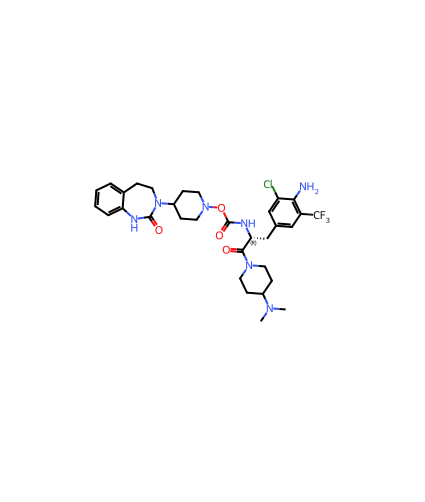 CN(C)C1CCN(C(=O)[C@@H](Cc2cc(Cl)c(N)c(C(F)(F)F)c2)NC(=O)ON2CCC(N3CCc4ccccc4NC3=O)CC2)CC1